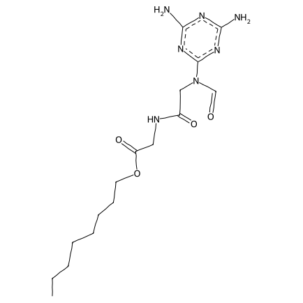 CCCCCCCCOC(=O)CNC(=O)CN(C=O)c1nc(N)nc(N)n1